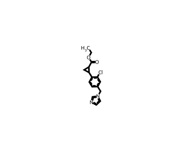 CCOC(=O)C1CC1c1ccc(Cn2ccnc2)cc1Cl